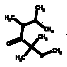 CSC(C)(C)C(=O)N(C)C(C)C